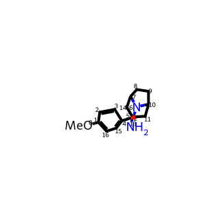 COc1ccc(CN2C3CCC2CC(N)C3)cc1